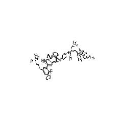 C=C[C@@H](CCNC(C)=N)NCc1ccc(-n2cc3cc(-c4cc(CCCC(N)C5CC5)cc(Cl)c4F)[nH]c3nc2=O)cc1